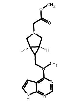 COC(=O)CN1C[C@@H]2C(CN(C)c3ncnc4[nH]ccc34)[C@@H]2C1